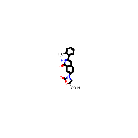 O=C(O)[C@H]1CN(c2ccc3cc(-c4ccccc4C(F)(F)F)[nH]c(=O)c3c2)C(=O)O1